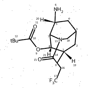 C[C@H]1CC2C[C@@H](N)C([C@H]1OC(=O)C(C)(C)C)N(C(=O)CC(F)(F)F)C2